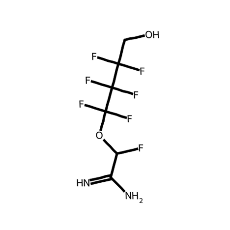 N=C(N)C(F)OC(F)(F)C(F)(F)C(F)(F)CO